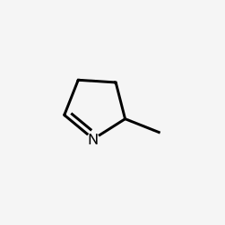 CC1CCC=N1